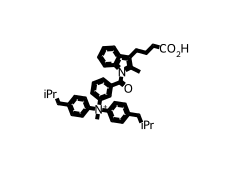 Cc1c(CCCC(=O)O)c2ccccc2n1C(=O)c1cccc([N+](C)(c2ccc(CC(C)C)cc2)c2ccc(CC(C)C)cc2)c1